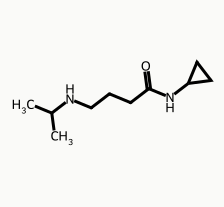 CC(C)NCCCC(=O)NC1CC1